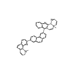 CN1CC=Cc2ccc3ccc(-c4ccc5c(ccc6ccc(-c7c8c(nc9ccccc79)C7N=CC=CC7(C)C=C8)cc65)c4)nc3c21